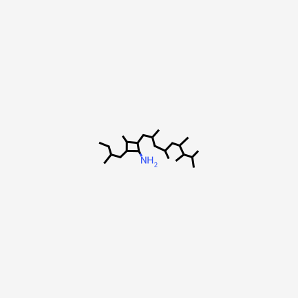 CCC(C)CC1C(C)C(CC(C)CC(C)CC(C)C(C)C(C)C)C1N